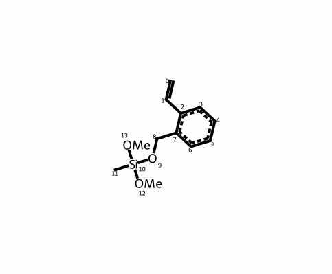 C=Cc1ccccc1CO[Si](C)(OC)OC